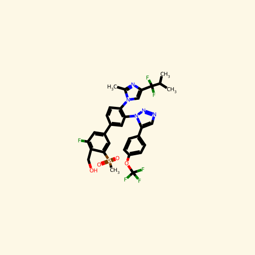 Cc1nc(C(F)(F)C(C)C)cn1-c1ccc(-c2cc(F)c(CO)c(S(C)(=O)=O)c2)cc1-n1nncc1-c1ccc(OC(F)(F)F)cc1